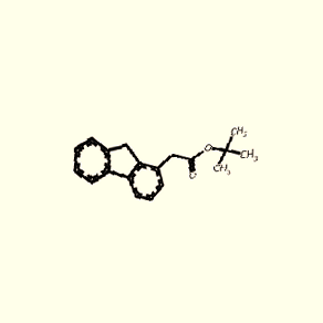 CC(C)(C)OC(=O)Cc1cccc2c1Cc1ccccc1-2